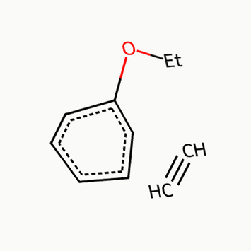 C#C.CCOc1ccccc1